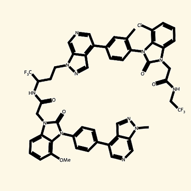 COc1cccc2c1n(-c1ccc(-c3cncc4c3cnn4C)cc1)c(=O)n2CC(=O)NC(CCn1ncc2c(-c3ccc(-n4c(=O)n(CC(=O)NCC(F)(F)F)c5cccc(Cl)c54)c(C)c3)cncc21)C(F)(F)F